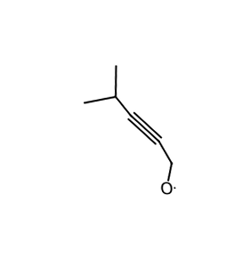 CC(C)C#CC[O]